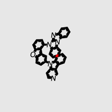 c1ccc2c(c1)nc1n(-c3cccc4oc5ccc(-n6c7ccccc7c7cnccc76)cc5c34)c3ccccc3n21